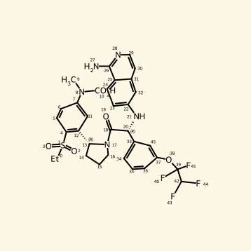 CCS(=O)(=O)c1ccc(N(C)C(=O)O)cc1[C@H]1CCCN1C(=O)[C@H](Nc1ccc2c(N)nccc2c1)c1cccc(OC(F)(F)C(F)F)c1